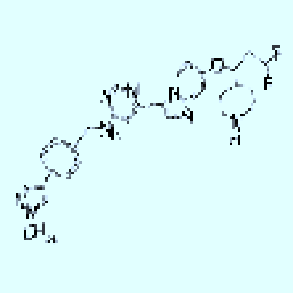 Cn1cc(-c2ccc(CNc3cc(-c4cnc5cc(OC(CC(F)F)C6CCNCC6)ccn45)ncn3)cc2)cn1